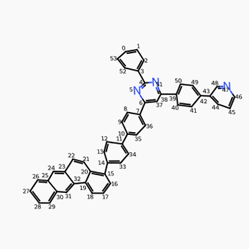 c1ccc(-c2nc(-c3ccc(-c4ccc(-c5cccc6c5ccc5cc7ccccc7cc56)cc4)cc3)cc(-c3ccc(-c4cccnc4)cc3)n2)cc1